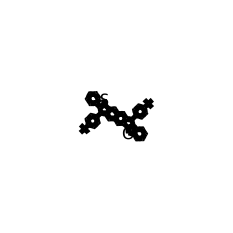 CC(C)(C)c1ccc(C2=c3cc4cc5c(cc4cc3-c3oc4ccccc4c32)=C(c2ccc(C(C)(C)C)cc2)c2c-5sc3ccccc23)cc1